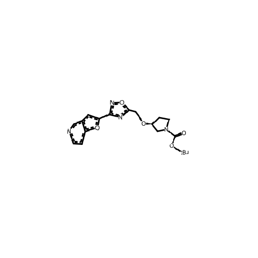 CC(C)(C)OC(=O)N1CC[C@H](OCc2nc(-c3cc4cnccc4o3)no2)C1